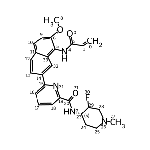 C=CC(=O)Nc1c(OC)ccc2ccc(-c3cccc(C(=O)N[C@H]4CCN(C)CC4F)n3)cc12